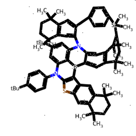 CC(C)(C)c1ccc(N2c3cc(C(C)(C)C)cc4c3B(c3cc5c6cc3N4c3cc4c(cc3-c3ccc(cc3)[Si](C)(C)C(CC5(C)C)C6(C)C)C(C)(C)CCC4(C)C)c3c2sc2cc4c(cc32)C(C)(C)CCC4(C)C)cc1